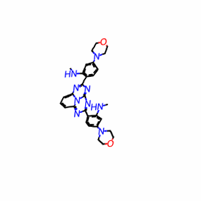 CNc1cc(N2CCOCC2)ccc1C1=NC2=CC=CC3=NC(c4ccc(N5CCOCC5)cc4NC)=NC(=N1)N23